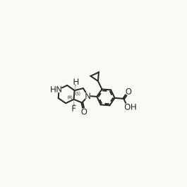 O=C(O)c1ccc(N2C[C@@H]3CNCC[C@]3(F)C2=O)c(C2CC2)c1